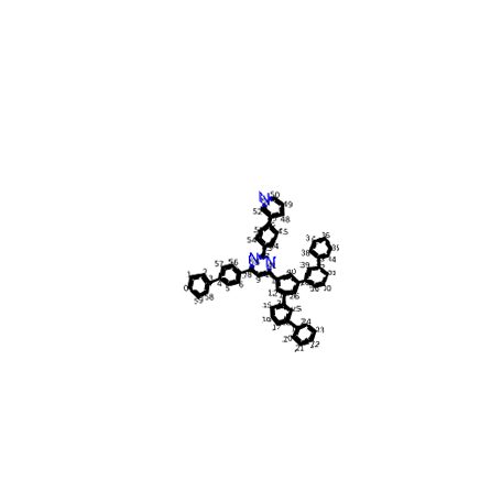 c1ccc(-c2ccc(-c3cc(-c4cc(-c5cccc(-c6ccccc6)c5)cc(-c5cccc(-c6ccccc6)c5)c4)nc(-c4ccc(-c5cccnc5)cc4)n3)cc2)cc1